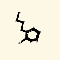 CCCCc1ccncc1I